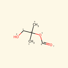 CC(C)(CO)O[C]=O